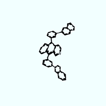 c1cc(-c2ccc3ccccc3c2)cc(-c2c3ccccc3c(-c3cccc(-c4ccc5ccccc5c4)c3)c3cnccc23)c1